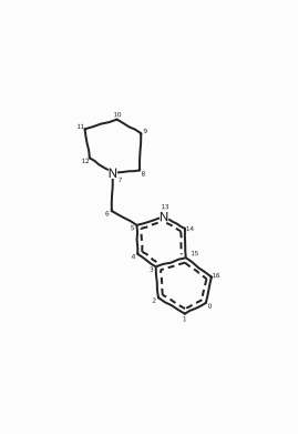 c1ccc2cc(CN3CCCCC3)ncc2c1